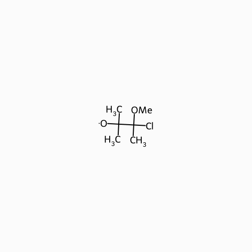 COC(C)(Cl)C(C)(C)[O]